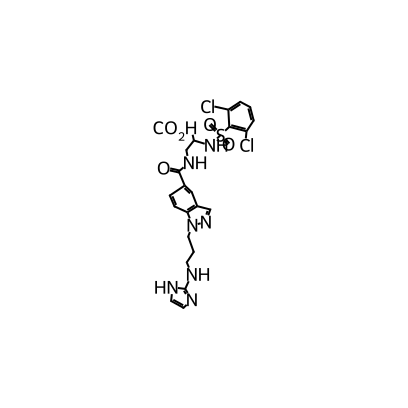 O=C(NCC(NS(=O)(=O)c1c(Cl)cccc1Cl)C(=O)O)c1ccc2c(cnn2CCCNc2ncc[nH]2)c1